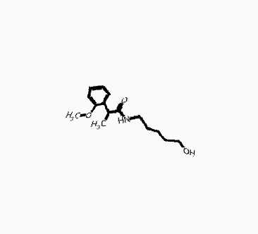 COc1ccccc1C(C)C(=O)NCCCCCO